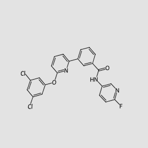 O=C(Nc1ccc(F)nc1)c1cccc(-c2cccc(Oc3cc(Cl)cc(Cl)c3)n2)c1